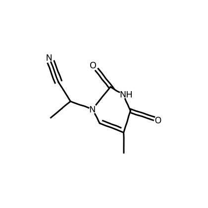 Cc1cn(C(C)C#N)c(=O)[nH]c1=O